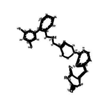 O=C1NC(=O)/C(=C\c2ccnc(N3CCC(CNCc4ccccc4-c4cc(F)nc(F)c4)CC3)n2)S1